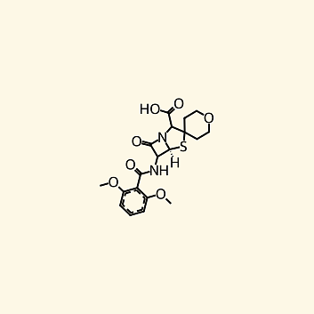 COc1cccc(OC)c1C(=O)NC1C(=O)N2C(C(=O)O)C3(CCOCC3)S[C@@H]12